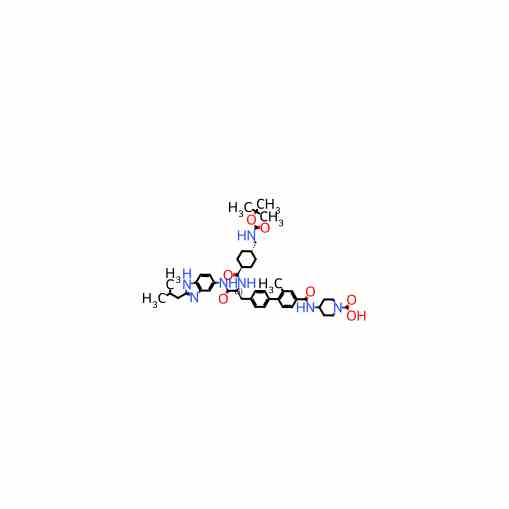 Cc1cc(C(=O)NC2CCN(C(=O)O)CC2)ccc1-c1ccc(C[C@H](NC(=O)[C@H]2CC[C@H](CNC(=O)OC(C)(C)C)CC2)C(=O)Nc2ccc3[nH]c(CC(C)C)nc3c2)cc1